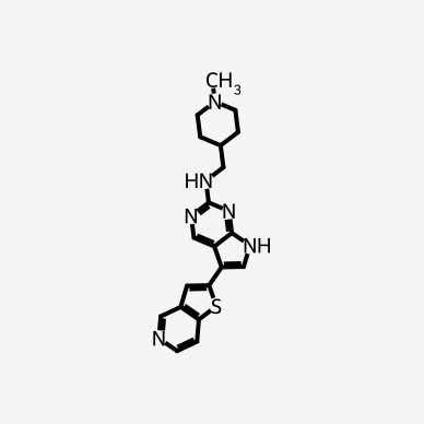 CN1CCC(CNc2ncc3c(-c4cc5cnccc5s4)c[nH]c3n2)CC1